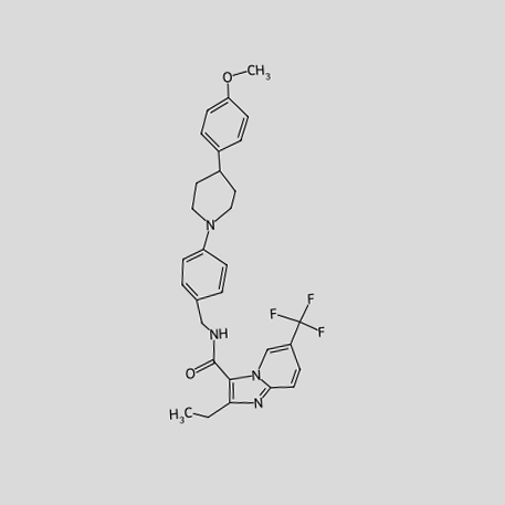 CCc1nc2ccc(C(F)(F)F)cn2c1C(=O)NCc1ccc(N2CCC(c3ccc(OC)cc3)CC2)cc1